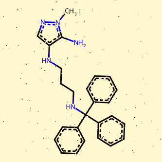 Cn1ncc(NCCCNC(c2ccccc2)(c2ccccc2)c2ccccc2)c1N